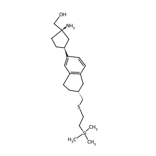 C[Si](C)(C)CCSC[C@@H]1CCc2cc([C@H]3CC[C@](N)(CO)C3)ccc2C1